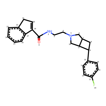 O=C(NCCN1CC2CC(c3ccc(F)cc3)C2C1)C1=CCc2ccccc21